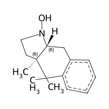 CC1(C)c2ccccc2C[C@H]2N(O)CC[C@@]21C